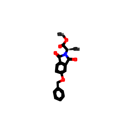 CC(C)(C)OC(=O)[C@@H](N1C(=O)c2ccc(OCc3ccccc3)cc2C1=O)C(C)(C)C